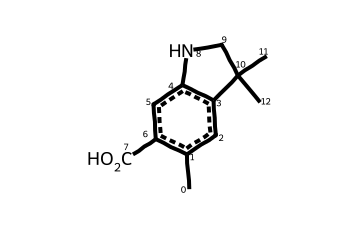 Cc1cc2c(cc1C(=O)O)NCC2(C)C